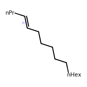 [CH2]CCCCCCCCCC/C=C/CCC